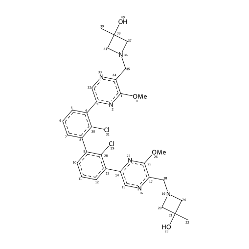 COc1nc(-c2cccc(-c3cccc(-c4cnc(CN5CC(C)(O)C5)c(OC)n4)c3Cl)c2Cl)cnc1CN1CC(C)(O)C1